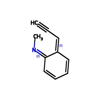 C#C/C=C1/C=CC=C/C1=N/C